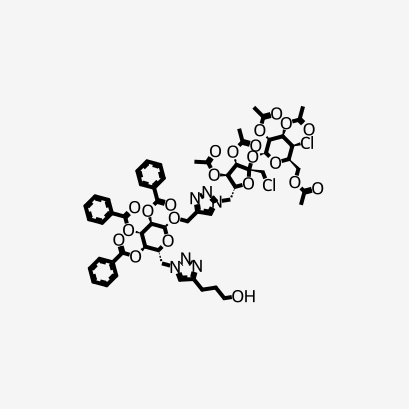 CC(=O)OC[C@H]1O[C@H](O[C@]2(CCl)O[C@H](Cn3cc(CO[C@@H]4O[C@H](Cn5cc(CCCO)nn5)[C@@H](OC(=O)c5ccccc5)[C@H](OC(=O)c5ccccc5)[C@H]4OC(=O)c4ccccc4)nn3)[C@@H](OC(C)=O)[C@@H]2OC(C)=O)[C@H](OC(C)=O)[C@@H](OC(C)=O)[C@H]1Cl